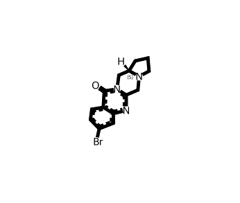 O=c1c2ccc(Br)cc2nc2n1C[C@@H]1CCCN1C2